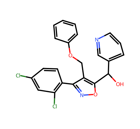 OC(c1cccnc1)c1onc(-c2ccc(Cl)cc2Cl)c1COc1ccccc1